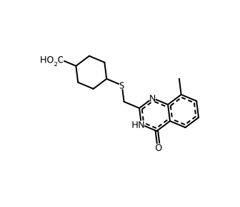 Cc1cccc2c(=O)[nH]c(CSC3CCC(C(=O)O)CC3)nc12